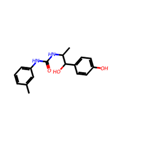 Cc1cccc(NC(=O)NC(C)C(O)c2ccc(O)cc2)c1